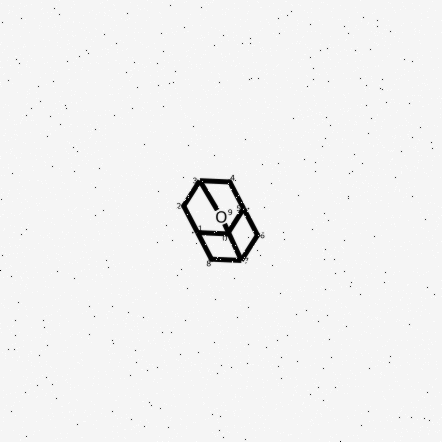 C1[C]2CC3C[C]1CC(C2)O3